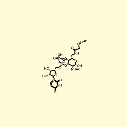 CC(=O)N[C@@H]1[C@@H](OP(=O)(OC[C@H]2O[C@@H](n3ccc(=O)[nH]c3=O)[C@H](O)[C@@H]2O)OP(=O)(O)O)[C@H](O)[C@@H](CNC(=O)CN=[N+]=[N-])O[C@@H]1O